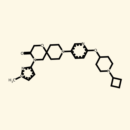 Cn1ccc(N2CC3(CCN(c4ccc(OC5CCN(C6CCC6)CC5)nc4)CC3)OCC2=O)n1